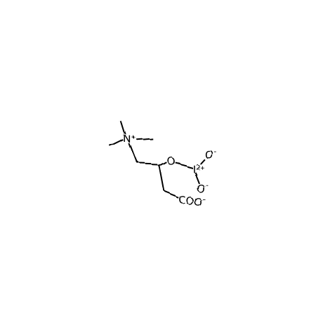 C[N+](C)(C)CC(CC(=O)[O-])O[I+2]([O-])[O-]